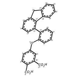 O=C(O)c1ccc(Oc2ccccc2-c2cccc3c2-c2ccccc2C3)cc1C(=O)O